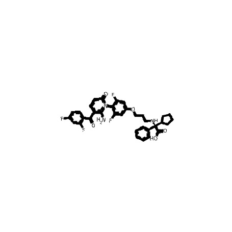 Nc1c(C(=O)c2ccc(F)cc2F)ccc(=O)n1-c1c(F)cc(OCCCN[C@@](C(=O)O)(c2ccccc2)C2CCCC2)cc1F